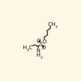 CCCCCOS(=O)(=O)C(N)CC